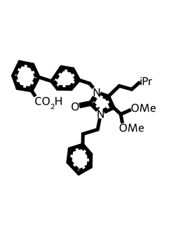 COC(OC)c1c(CCC(C)C)n(Cc2ccc(-c3ccccc3C(=O)O)cc2)c(=O)n1CCc1ccccc1